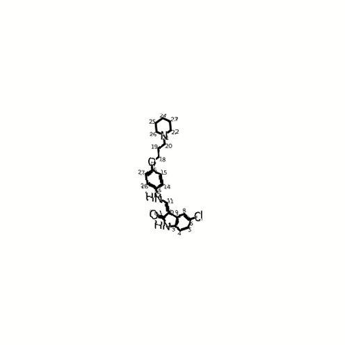 O=C1Nc2ccc(Cl)cc2C1=CNc1ccc(OCCCN2CCCCC2)cc1